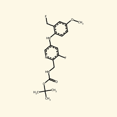 COc1ccc(Nc2cnc(CNC(=O)OC(C)(C)C)c(F)c2)c(CF)c1